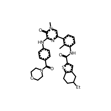 CCC1CCc2sc(C(=O)Nc3cccc(-c4cn(C)c(=O)c(Nc5ccc(C(=O)N6CCOCC6)cc5)n4)c3C)cc2C1